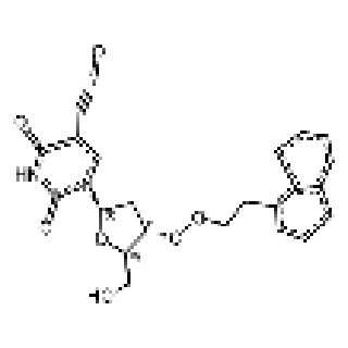 O=P#Cc1cn([C@H]2C[C@H](OOCCc3cccc4ccccc34)[C@@H](CO)O2)c(=O)[nH]c1=O